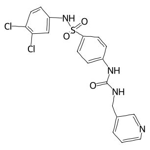 O=C(NCc1cccnc1)Nc1ccc(S(=O)(=O)Nc2ccc(Cl)c(Cl)c2)cc1